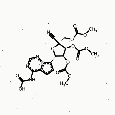 COC(=O)OC[C@@]1(C#N)O[C@@H](c2ccc3c(NC(=O)O)ncnn23)[C@H](OC(=O)OC)[C@@H]1OC(=O)OC